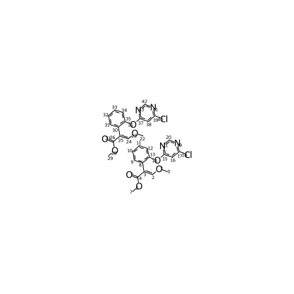 CO/C=C(/C(=O)OC)c1ccccc1Oc1cc(Cl)ncn1.CO/C=C(/C(=O)OC)c1ccccc1Oc1cc(Cl)ncn1